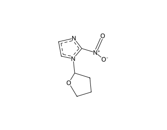 O=[N+]([O-])c1nccn1C1CCCO1